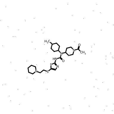 CC(=O)N1CCC(N(C(=O)Nc2ncc(SCCN3CCCCC3)s2)C2CCC(C)CC2)CC1